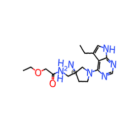 CCOCC(=O)NC[C@@]1(N)CCN(c2ncnc3[nH]cc(CC)c23)C1